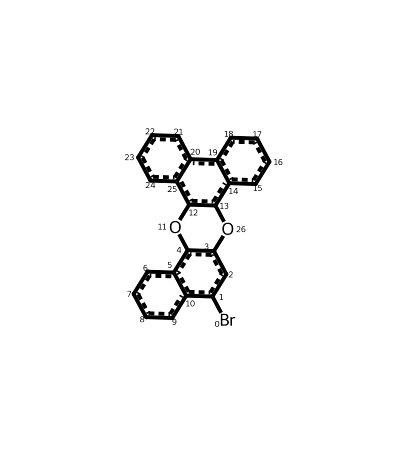 Brc1cc2c(c3ccccc13)Oc1c(c3ccccc3c3ccccc13)O2